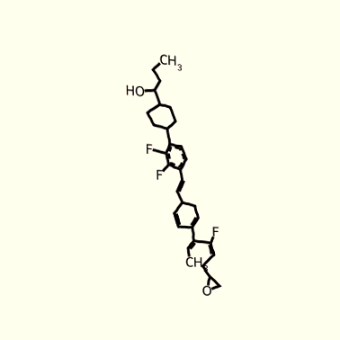 C/C=C(C1=CCC(/C=C/c2ccc(C3CCC(C(O)CCC)CC3)c(F)c2F)C=C1)\C(F)=C/CC1CO1